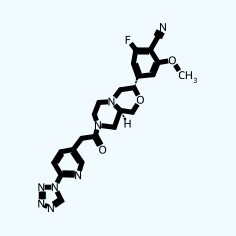 COc1cc([C@H]2CN3CCN(C(=O)Cc4ccc(-n5cnnn5)nc4)C[C@@H]3CO2)cc(F)c1C#N